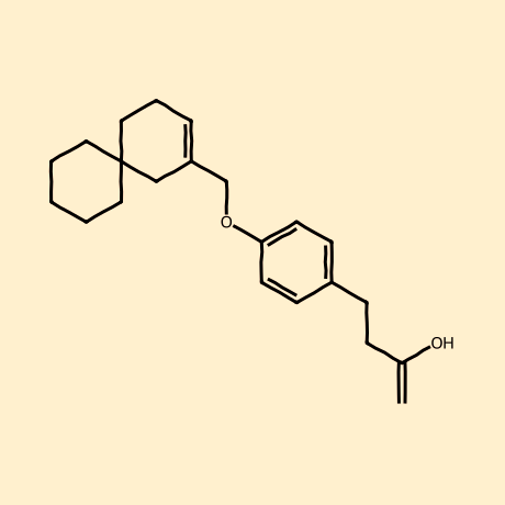 C=C(O)CCc1ccc(OCC2=CCCC3(CCCCC3)C2)cc1